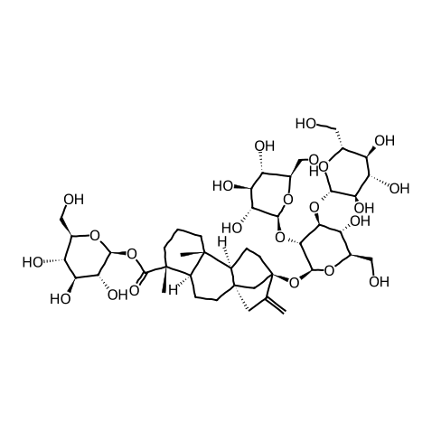 C=C1C[C@]23CC[C@@H]4[C@](C)(CCC[C@@]4(C)C(=O)O[C@@H]4O[C@H](CO)[C@@H](O)[C@H](O)[C@H]4O)[C@H]2CC[C@@]1(O[C@@H]1O[C@H](CO)[C@@H](O)[C@H](O[C@@H]2O[C@H](CO)[C@@H](O)[C@H](O)[C@H]2O)[C@H]1O[C@@H]1O[C@H](CO)[C@@H](O)[C@H](O)[C@H]1O)C3